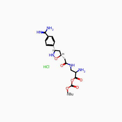 CCCCOC(=O)OC(=O)C(N)CNC(=O)C[C@H]1C[C@@H](c2ccc(C(=N)N)cc2)NO1.Cl